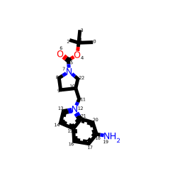 CC(C)(C)OC(=O)N1CCC(Cn2ccc3ccc(N)cc32)C1